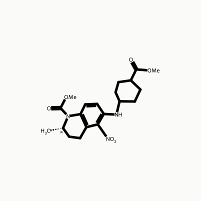 COC(=O)C1CCC(Nc2ccc3c(c2[N+](=O)[O-])CC[C@H](C)N3C(=O)OC)CC1